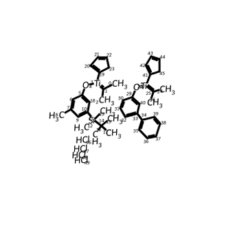 C[C](C)=[Ti]([O]c1cc(C)cc([Si](C)(C)C(C)(C)C)c1)[C]1=CC=CC1.C[C](C)=[Ti]([O]c1cccc(-c2ccccc2)c1)[C]1=CC=CC1.Cl.Cl.Cl.Cl